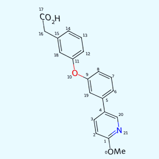 COc1ccc(-c2cccc(Oc3cccc(CC(=O)O)c3)c2)cn1